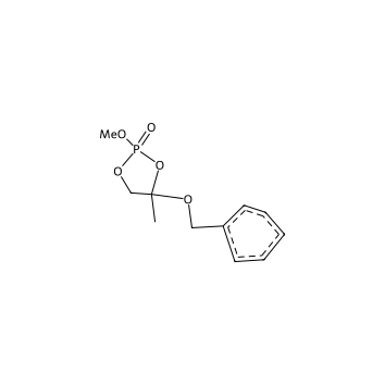 COP1(=O)OCC(C)(OCc2ccccc2)O1